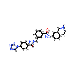 CN1CCc2ccc(NC(=O)c3cccc(CNC(=O)c4ccc(-n5cnnn5)cc4)c3)cc2C1